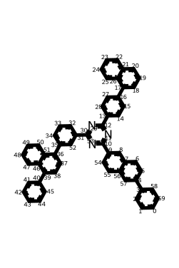 c1ccc(-c2ccc3cc(-c4nc(-c5ccc(-c6cccc7ccccc67)cc5)nc(-c5cccc(-c6ccc(-c7ccccc7)c7ccccc67)c5)n4)ccc3c2)cc1